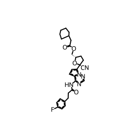 N#C[C@]1(c2ccc3c(NC(=O)CCc4ccc(F)cc4)ncnn23)CC[C@@H](COC(=O)CC2CCCCC2)O1